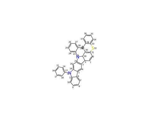 C1=CC2c3cc4c5ccccc5n(-c5ccccc5)c4cc3N3c4ccccc4B4C(=C1Sc1ccccc14)C23